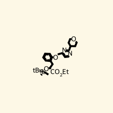 CCOC(=O)C(Cc1ccccc1OCc1ccnc(C2CCOCC2)n1)O[Si](C)(C)C(C)(C)C